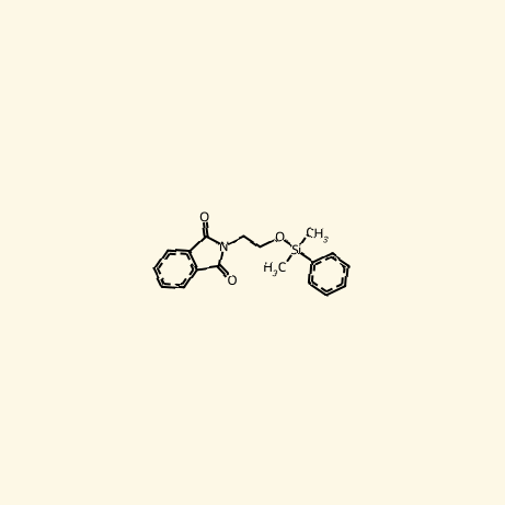 C[Si](C)(OCCN1C(=O)c2ccccc2C1=O)c1ccccc1